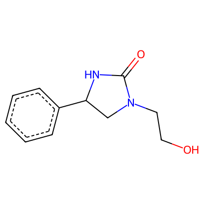 O=C1NC(c2ccccc2)CN1CCO